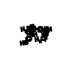 CC(F)(F)CN1C[C@H]2CC[C@@]2(c2ccc(-c3cnc(N)c(C(=O)N[C@H]4CC[C@H](O)CC4)c3)cc2)C1